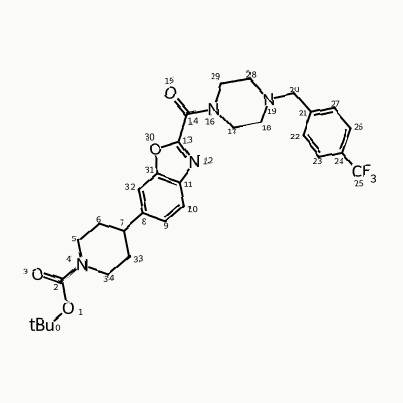 CC(C)(C)OC(=O)N1CCC(c2ccc3nc(C(=O)N4CCN(Cc5ccc(C(F)(F)F)cc5)CC4)oc3c2)CC1